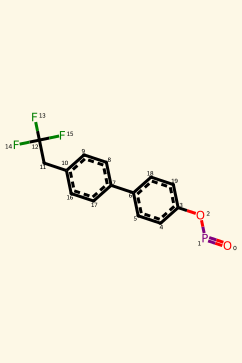 O=POc1ccc(-c2ccc(CC(F)(F)F)cc2)cc1